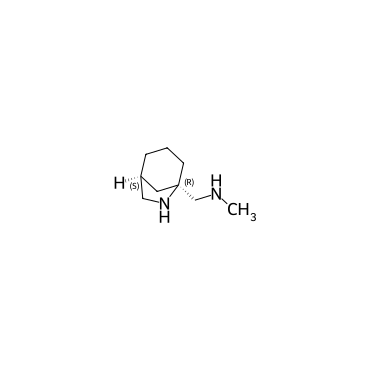 CNC[C@]12CCC[C@H](CN1)C2